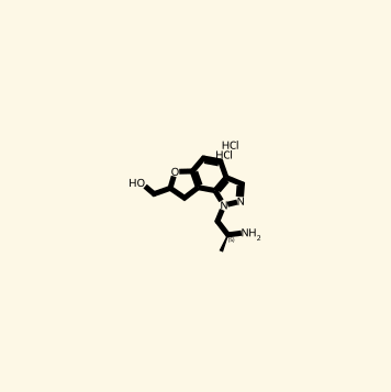 C[C@H](N)Cn1ncc2ccc3c(c21)CC(CO)O3.Cl.Cl